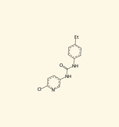 CCc1ccc(NC(=O)Nc2ccc(Cl)nc2)cc1